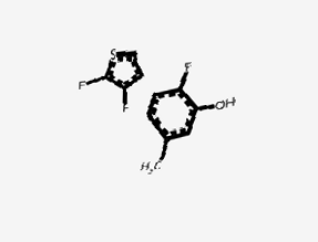 Cc1ccc(F)c(O)c1.Fc1ccsc1F